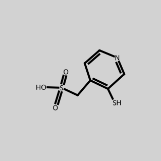 O=S(=O)(O)Cc1ccncc1S